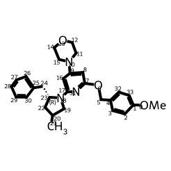 COc1ccc(COc2cc(N3CCOCC3)cc(N3CC(C)C[C@@H]3Cc3ccccc3)n2)cc1